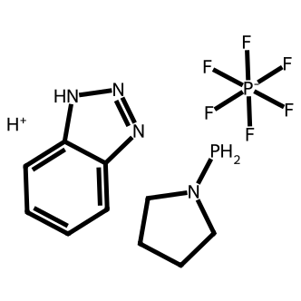 F[P-](F)(F)(F)(F)F.PN1CCCC1.[H+].c1ccc2[nH]nnc2c1